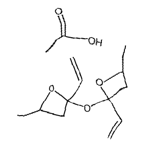 C=CC1(OC2(C=C)CC(C)O2)CC(C)O1.CC(=O)O